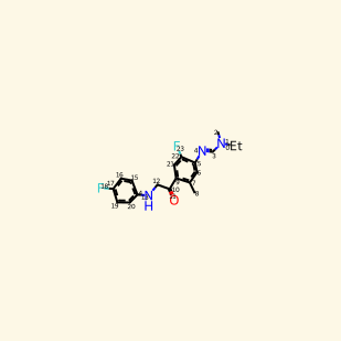 CCN(C)C=Nc1cc(C)c(C(=O)CNc2ccc(F)cc2)cc1F